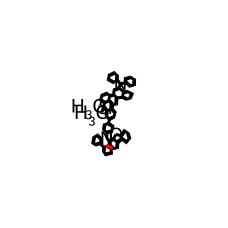 C[Si]1(C)c2cc(-c3ccc(N(c4ccccc4-c4ccccc4)c4cccc5c4oc4ccccc45)cc3)ccc2-c2cc3c4ccccc4c(N(c4ccccc4)c4ccccc4)cc3c3cccc1c23